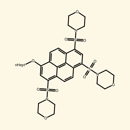 CCCCCCCOc1cc(S(=O)(=O)N2CCOCC2)c2ccc3c(S(=O)(=O)N4CCOCC4)cc(S(=O)(=O)N4CCOCC4)c4ccc1c2c43